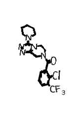 O=C(c1cccc(C(F)(F)F)c1Cl)N1CCn2c(nnc2N2CCCCC2)C1